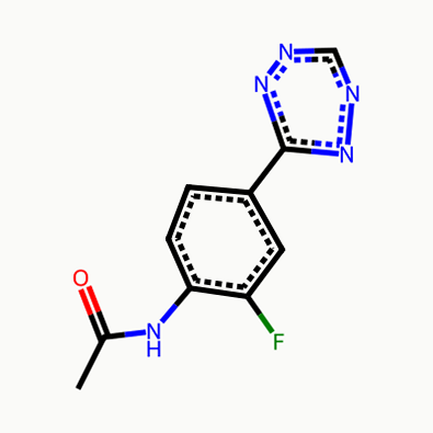 CC(=O)Nc1ccc(-c2nncnn2)cc1F